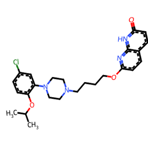 CC(C)Oc1ccc(Cl)cc1N1CCN(CCCCOc2ccc3ccc(=O)[nH]c3n2)CC1